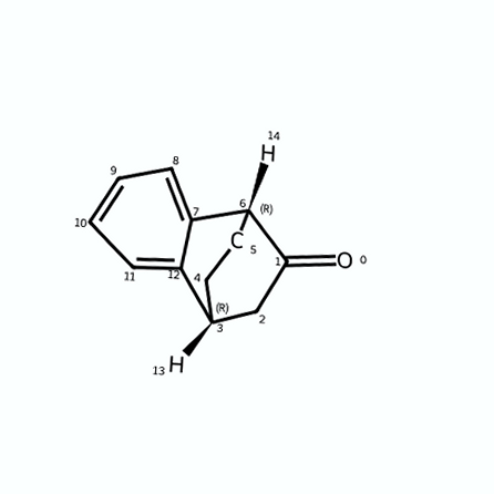 O=C1C[C@H]2CC[C@@H]1c1ccccc12